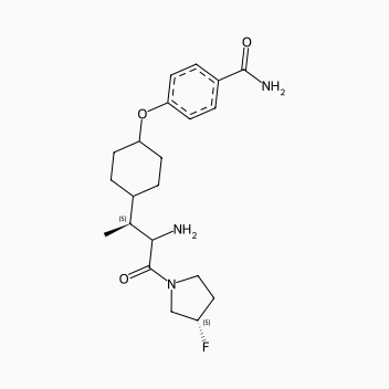 C[C@@H](C1CCC(Oc2ccc(C(N)=O)cc2)CC1)C(N)C(=O)N1CC[C@H](F)C1